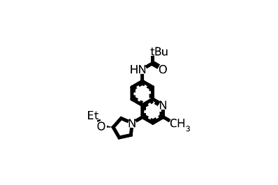 CCO[C@H]1CCN(c2cc(C)nc3cc(NC(=O)C(C)(C)C)ccc23)C1